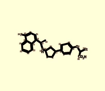 CCC(Oc1ccc(C2CCC(N[C@H](C)c3ccc(F)c4ccccc34)C2)cc1)C(=O)O